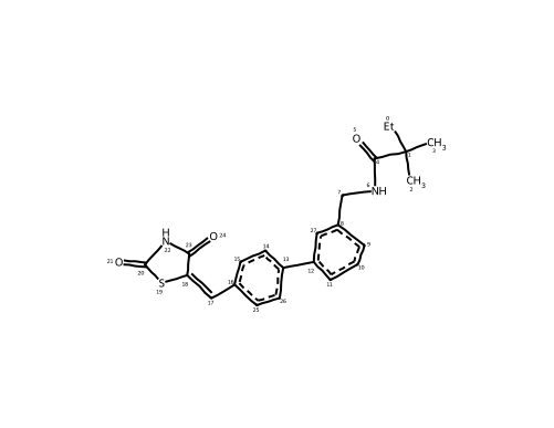 CCC(C)(C)C(=O)NCc1cccc(-c2ccc(C=C3SC(=O)NC3=O)cc2)c1